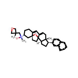 CC1(C[N+](C)([O-])[C@@H]2CCC3=CC4=CC[C@]5(C)[C@@H](c6ccc7ccccc7c6)CC[C@H]5C45CC[C@]3(C2)O5)COC1